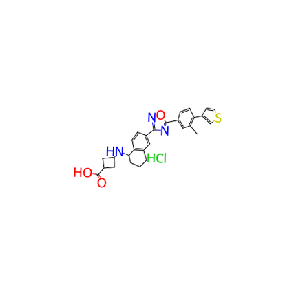 Cc1cc(-c2nc(-c3ccc4c(c3)CCCC4NC3CC(C(=O)O)C3)no2)ccc1-c1ccsc1.Cl